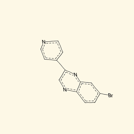 Brc1ccc2ncc(-c3ccncc3)nc2c1